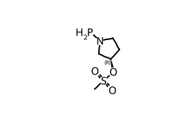 CS(=O)(=O)O[C@@H]1CCN(P)C1